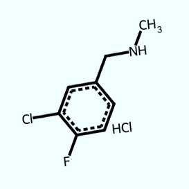 CNCc1ccc(F)c(Cl)c1.Cl